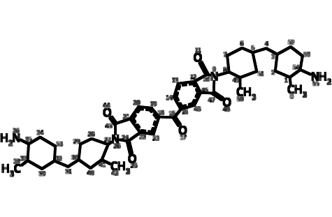 CC1CC(CC2CCC(N3C(=O)c4ccc(C(=O)c5ccc6c(c5)C(=O)N(C5CCC(CC7CCC(N)C(C)C7)CC5C)C6=O)cc4C3=O)C(C)C2)CCC1N